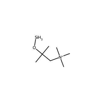 CC(C)(C[N+](C)(C)C)O[SiH3]